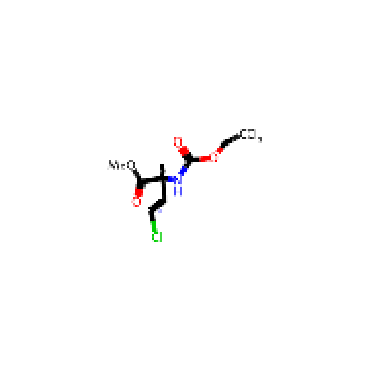 COC(=O)C(C)(/C=C/Cl)NC(=O)OCC(Cl)(Cl)Cl